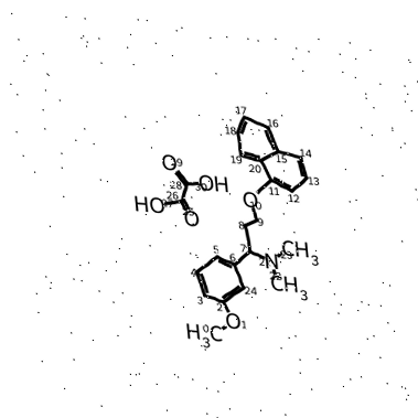 COc1cccc(C(CCOc2cccc3ccccc23)N(C)C)c1.O=C(O)C(=O)O